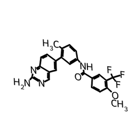 COc1ccc(C(=O)Nc2ccc(C)c(-c3ccc4nc(N)ncc4c3)c2)cc1C(F)(F)F